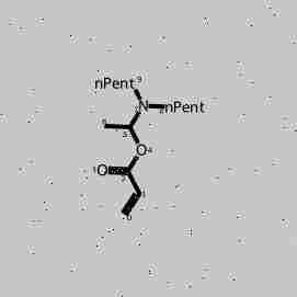 C=CC(=O)OC(C)N(CCCCC)CCCCC